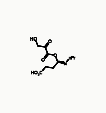 CCCN=C(CCC(=O)O)OC(=O)C(=O)CO